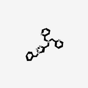 c1ccc(Cn2cc(CN(Cc3ccccn3)Cc3ccccn3)nn2)cc1